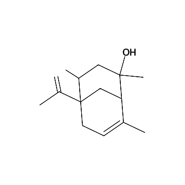 C=C(C)C12CC=C(C)C(C1)C(C)(O)CC2C